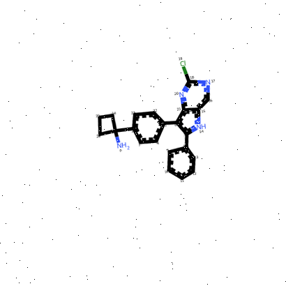 NC1(c2ccc(-c3c(-c4ccccc4)[nH]c4cnc(Cl)nc34)cc2)CCC1